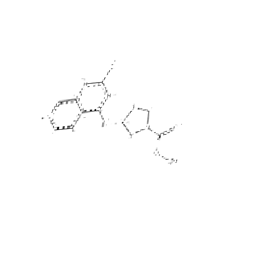 CC(C)(C)OC(=O)N1CC[C@@H](Nc2nc(Cl)nc3cnccc23)C1